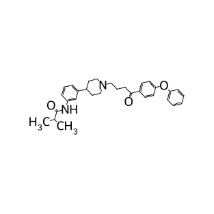 CC(C)C(=O)Nc1cccc(C2CCN(CCCC(=O)c3ccc(Oc4ccccc4)cc3)CC2)c1